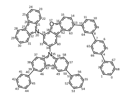 c1ccc(-c2ccc(-c3cccc(-c4ccc5oc6c(-n7c8ccccc8c8ccccc87)cc(-n7c8ccc(-c9ccccc9)cc8c8cc(-c9ccccc9)ccc87)cc6c5c4)c3)cc2)cc1